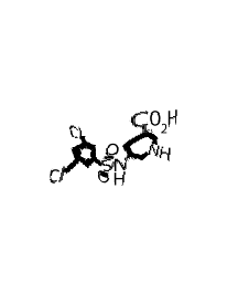 O=C(O)[C@@H]1CNC[C@H](NS(=O)(=O)c2cc(Cl)cc(Cl)c2)C1